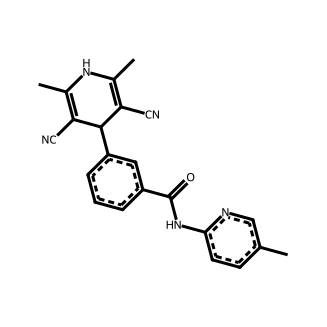 CC1=C(C#N)C(c2cccc(C(=O)Nc3ccc(C)cn3)c2)C(C#N)=C(C)N1